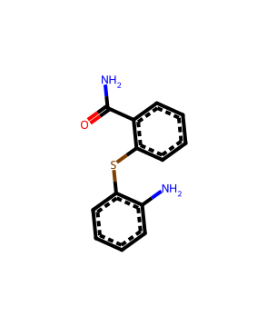 NC(=O)c1ccccc1Sc1ccccc1N